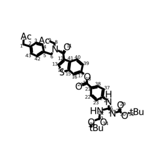 CC(=O)Cc1ccc(CN(CC(C)=O)C(=O)c2csc3cc(OC(=O)c4ccc(N/C(=N\C(=O)OC(C)(C)C)NC(=O)OC(C)(C)C)cc4)ccc23)cc1